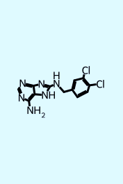 Nc1ncnc2nc(NCc3ccc(Cl)c(Cl)c3)[nH]c12